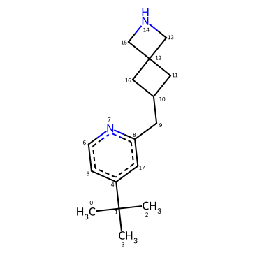 CC(C)(C)c1ccnc(CC2CC3(CNC3)C2)c1